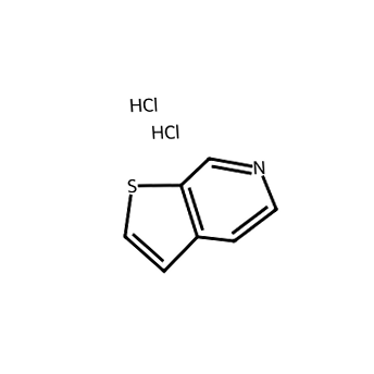 Cl.Cl.c1cc2ccsc2cn1